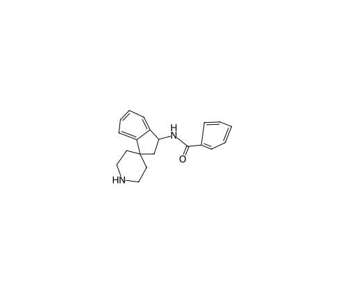 O=C(NC1CC2(CCNCC2)c2ccccc21)c1ccccc1